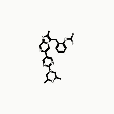 Cc1nc2cnc(-c3cnc(N4CC(C)OC(C)C4)nc3)cn2c1Cc1ccccc1OC(F)F